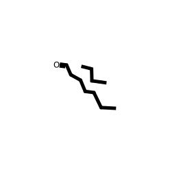 CCCC.CCCCCCC=O